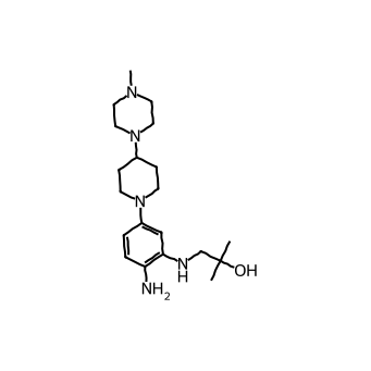 CN1CCN(C2CCN(c3ccc(N)c(NCC(C)(C)O)c3)CC2)CC1